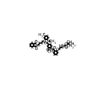 COc1cc(C(=O)N(C)c2ccc(C)cc2OCCCCN2C(=O)c3ccccc3C2=O)ccc1NC(=O)c1ccccc1OCCCNC(=O)OC(C)(C)C